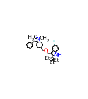 CC[Si](CC)(CC)c1[nH]c2ccc(F)cc2c1COCC1CCC(Cc2ccccc2)(N(C)C)CC1